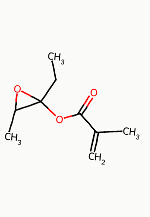 C=C(C)C(=O)OC1(CC)OC1C